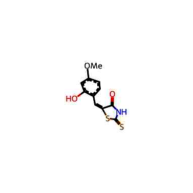 COc1ccc(C=C2SC(=S)NC2=O)c(O)c1